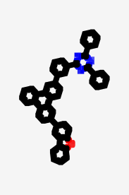 c1ccc(-c2nc(-c3ccccc3)nc(-c3cccc(-c4ccc5c(c4)c4ccccc4c4ccc(-c6ccc7oc8ccccc8c7c6)cc45)c3)n2)cc1